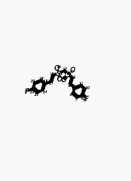 O=S(=O)(C=Cc1ccc(F)cc1)CS(=O)(=O)C=Cc1ccc(F)cc1